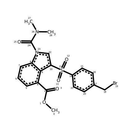 COC(=O)c1cccc2c1c(S(=O)(=O)c1ccc(CBr)cc1)cn2C(=O)N(C)C